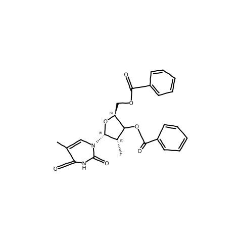 Cc1cn([C@@H]2O[C@@H](COC(=O)c3ccccc3)C(OC(=O)c3ccccc3)[C@@H]2F)c(=O)[nH]c1=O